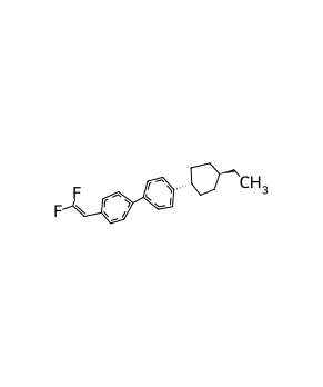 CC[C@H]1CC[C@H](c2ccc(-c3ccc(C=C(F)F)cc3)cc2)CC1